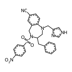 N#Cc1ccc2c(c1)CN(S(=O)(=O)c1ccc([N+](=O)[O-])cc1)C(Cc1ccccc1)CN2Cc1c[nH]cn1